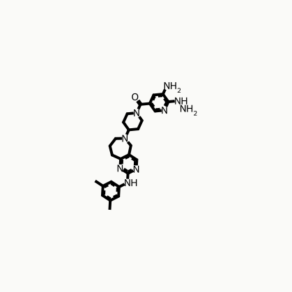 Cc1cc(C)cc(Nc2ncc3c(n2)CCCN(C2CCN(C(=O)c4cnc(NN)c(N)c4)CC2)C3)c1